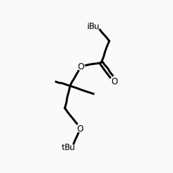 CCC(C)CC(=O)OC(C)(C)COC(C)(C)C